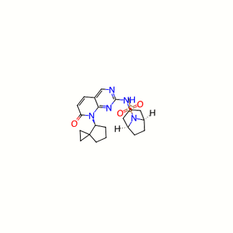 CS(=O)(=O)N1[C@@H]2CC[C@H]1CC(Nc1ncc3ccc(=O)n([C@H]4CCCC45CC5)c3n1)C2